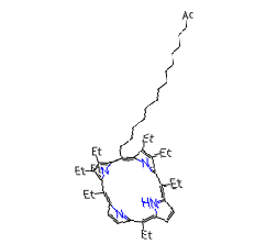 CCC1=C(CC)c2nc1c(CC)c1ccc([nH]1)c(CC)c1nc(c(CC)c3c(CC)c(CC)c(c2CCCCCCCCCCCCCCC(C)=O)n3CC)C=C1